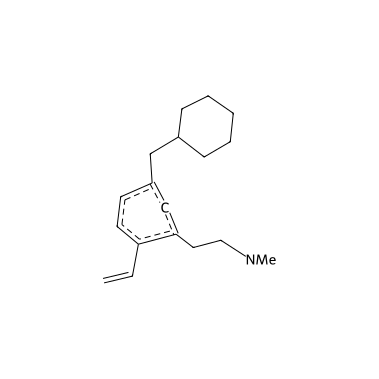 C=Cc1ccc(CC2CCCCC2)cc1CCNC